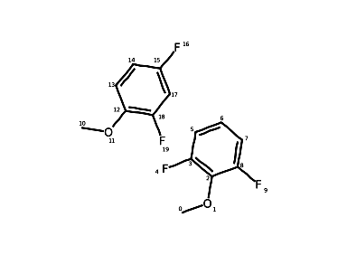 COc1c(F)cccc1F.COc1ccc(F)cc1F